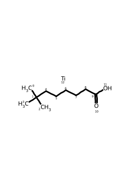 CC(C)(C)CCCCCC(=O)O.[Ti]